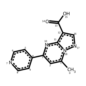 Cc1cc(-c2ccncc2)nc2c(C(=O)O)cnn12